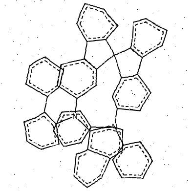 c1ccc(-c2ccccc2N(c2ccc3c(c2)C2(c4ccccc4-c4ccc(N(c5ccccc5)c5ccccc5)cc42)c2ccccc2-3)c2cccc3ccccc23)cc1